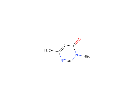 Cc1cc(=O)n(C(C)(C)C)cn1